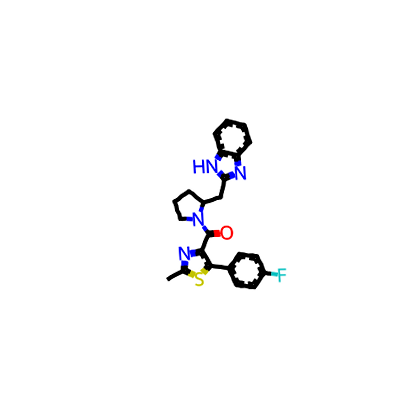 Cc1nc(C(=O)N2CCCC2Cc2nc3ccccc3[nH]2)c(-c2ccc(F)cc2)s1